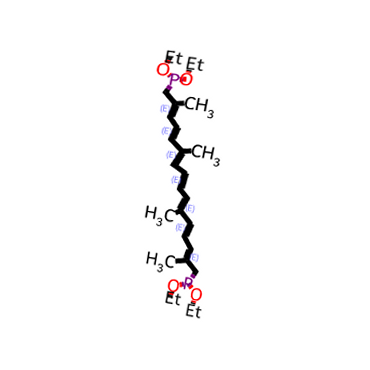 CCOP(C/C(C)=C/C=C/C(C)=C/C=C/C=C(C)/C=C/C=C(\C)CP(OCC)OCC)OCC